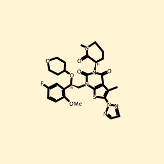 COc1ccc(F)cc1[C@H](Cn1c(=O)n([C@@H]2CCCN(C)C2=O)c(=O)c2c(C)c(-n3nccn3)sc21)OC1CCOCC1